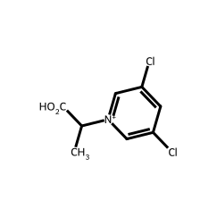 CC(C(=O)O)[n+]1cc(Cl)cc(Cl)c1